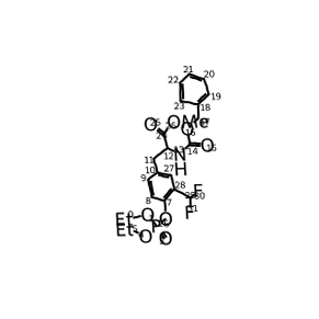 CCOP(=O)(OCC)Oc1ccc(CC(NC(=O)OCc2ccccc2)C(=O)OC)cc1C(F)F